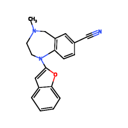 CN1CCN(c2cc3ccccc3o2)c2ccc(C#N)cc2C1